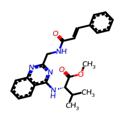 COC(=O)[C@@H](Nc1nc(CNC(=O)/C=C/c2ccccc2)nc2ccccc12)C(C)C